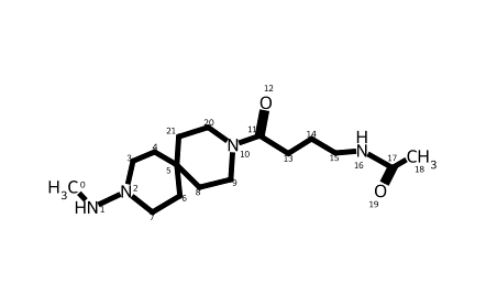 CNN1CCC2(CC1)CCN(C(=O)CCCNC(C)=O)CC2